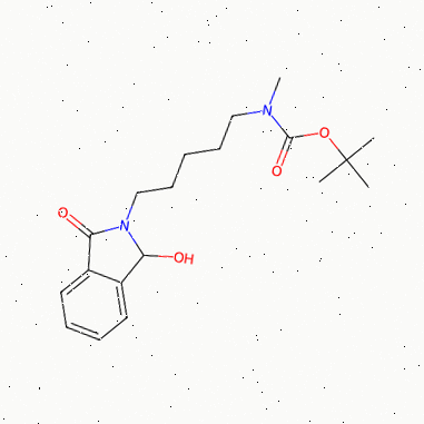 CN(CCCCCN1C(=O)c2ccccc2C1O)C(=O)OC(C)(C)C